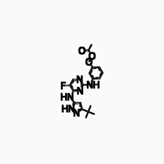 CC(=O)OOc1cccc(Nc2ncc(F)c(Nc3cc(C(C)(C)C)n[nH]3)n2)c1